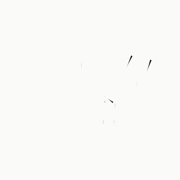 C[C@]12CC[C@@H]3c4ccc(O)cc4CC[C@H]3[C@@H]1CC[C@@H]2O.[PbH2]